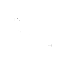 Cc1c[nH]nc1C(C)O